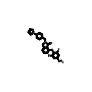 O=C1c2c(cccc2Oc2c(F)cc([N+](=O)[O-])cc2F)CN1Cc1ccc(-n2cccn2)cc1